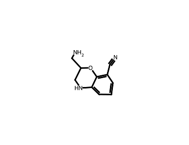 N#Cc1cccc2c1OC(CN)CN2